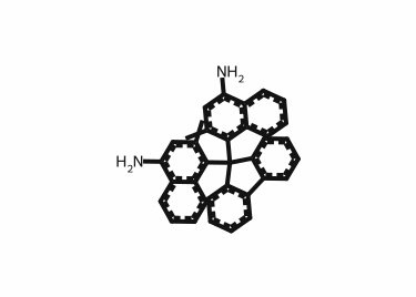 Cc1cc(N)c2ccccc2c1C1(c2c(C)cc(N)c3ccccc23)c2ccccc2-c2ccccc21